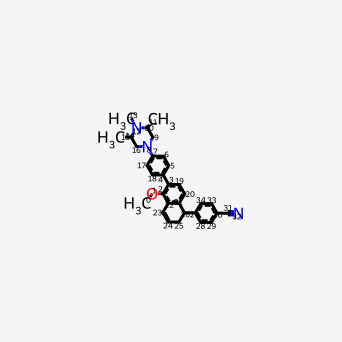 COc1c(-c2ccc(N3CC(C)N(C)C(C)C3)cc2)ccc2c1C=CCC2c1ccc(C#N)cc1